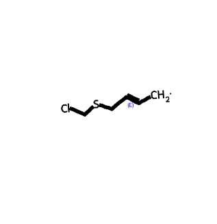 [CH2]/C=C/CSCCl